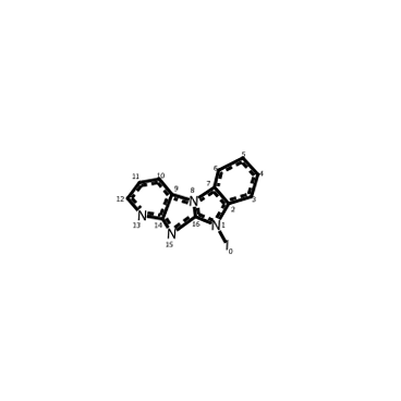 In1c2ccccc2n2c3cccnc3nc12